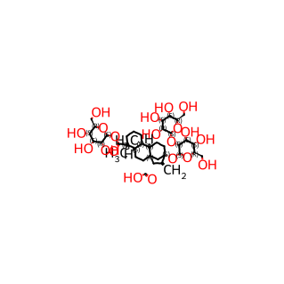 C=C1C[C@@]23CC[C@H]4[C@@](C)(CCC[C@@]4(C)C(=O)O[C@@H]4O[C@H](CO)[C@@H](O)[C@H](O)[C@H]4O)[C@@H]2CC[C@]1(O[C@@H]1O[C@H](CO)[C@@H](O)[C@H](O)[C@H]1O[C@@H]1O[C@H](CO)[C@@H](O)[C@H](O)[C@H]1O)C3.O=CO